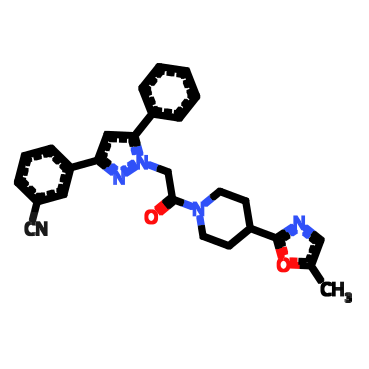 Cc1cnc(C2CCN(C(=O)Cn3nc(-c4cccc(C#N)c4)cc3-c3ccccc3)CC2)o1